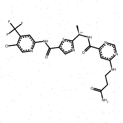 C[C@@H](NC(=O)c1cc(NCCC(N)=O)ncn1)c1ncc(C(=O)Nc2cc(C(F)(F)F)c(Cl)cn2)s1